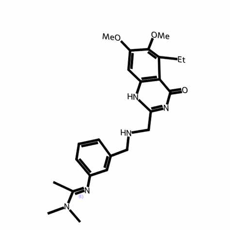 CCc1c(OC)c(OC)cc2[nH]c(CNCc3cccc(/N=C(\C)N(C)C)c3)nc(=O)c12